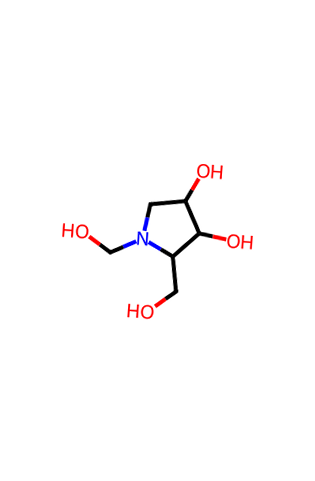 OCC1C(O)C(O)CN1CO